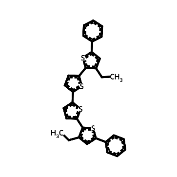 CCc1cc(-c2ccccc2)sc1-c1ccc(-c2ccc(-c3sc(-c4ccccc4)cc3CC)s2)s1